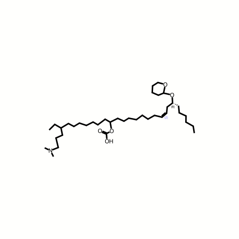 CCCCCC[C@H](C/C=C\CCCCCCCC(CCCCCCCC(CC)CCCN(C)C)OC(=O)O)OC1CCCCO1